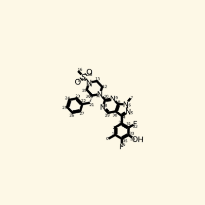 Cc1cc(-c2nn(C)c3nc(N4CCN(S(C)(=O)=O)C[C@H]4Cc4ccccc4)ncc23)c(F)c(O)c1F